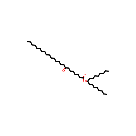 CCCCCCCCCCCCCCCCC(=O)CCCCCCC(=O)OC(CCCCCCCC)CCCCCCCC